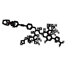 CC(C)(C(NC(=O)OC1COC1)C(=O)N[C@@H](Cc1ccc(C#Cc2ccc(N3CC4CCC(C3)N4C3COC3)nc2)cc1)[C@@H](O)CN(Cc1c(F)cc(-c2ccn(C(F)F)n2)cc1F)NC(=O)[C@@H](NC(=O)O)C(C)(C)C(F)(F)F)C(F)(F)F